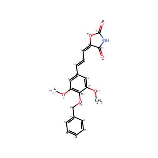 COc1cc(C=CC=C2OC(=O)NC2=O)cc(OC)c1OCc1ccccc1